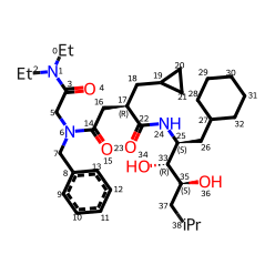 CCN(CC)C(=O)CN(Cc1ccccc1)C(=O)C[C@@H](CC1CC1)C(=O)N[C@@H](CC1CCCCC1)[C@@H](O)[C@@H](O)CC(C)C